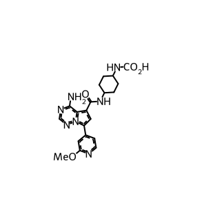 COc1cc(-c2cc(C(=O)NC3CCC(NC(=O)O)CC3)c3c(N)ncnn23)ccn1